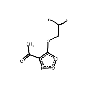 CC(=O)c1nonc1OCC(F)F